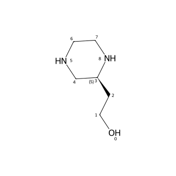 OCC[C@H]1CNCCN1